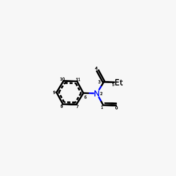 C=CN(C(=C)CC)c1ccccc1